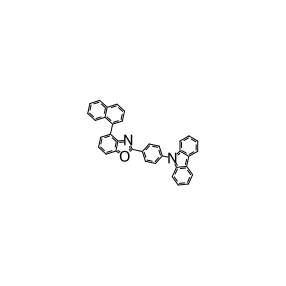 c1ccc2c(-c3cccc4oc(-c5ccc(-n6c7ccccc7c7ccccc76)cc5)nc34)cccc2c1